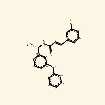 C[C@H](NC(=O)/C=C/c1cccc(F)c1)c1cccc(Oc2ccccn2)c1